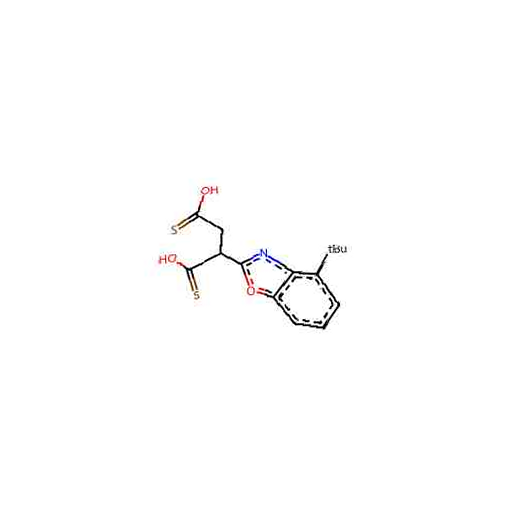 CC(C)(C)c1cccc2oc(C(CC(O)=S)C(O)=S)nc12